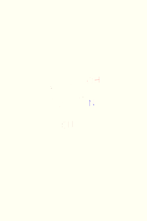 C#Cc1cccc([CH]O)c1C#N